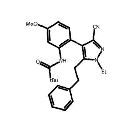 CCn1nc(C#N)c(-c2ccc(OC)cc2NC(=O)C(C)(C)C)c1CCc1ccccc1